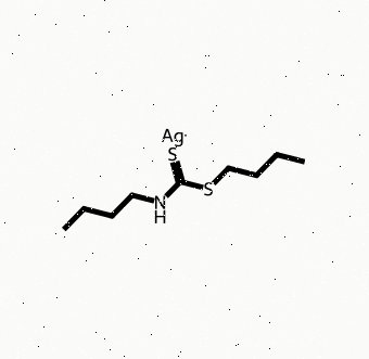 CCCCNC(=S)SCCCC.[Ag]